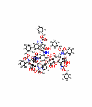 O=C(NC1[C@@H](O[C@H]2[C@H](O[C@@H]3O[C@H](CO)[C@@H](O[C@H]4O[C@H]5CN(C(=O)OCc6ccccc6)C(c6ccccc6)O[C@H]5[C@H](O)[C@H]4NC(=O)OCc4ccccc4)[C@H]3O)[C@@H](O)[C@H](NC(=O)[C@]3(O)C[C@H](NC(=O)OCc4ccccc4)C3)C[C@@H]2NC(=O)OCc2ccccc2)O[C@@H]2CN(C(=O)OCc3ccccc3)C(c3ccccc3)O[C@H]2[C@H]1O)OCc1ccccc1